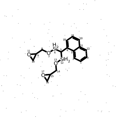 c1ccc2c(C([SiH2]OCC3CO3)[SiH2]OCC3CO3)cccc2c1